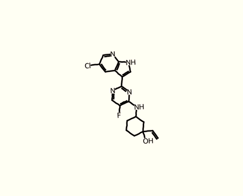 C=CC1(O)CCCC(Nc2nc(-c3c[nH]c4ncc(Cl)cc34)ncc2F)C1